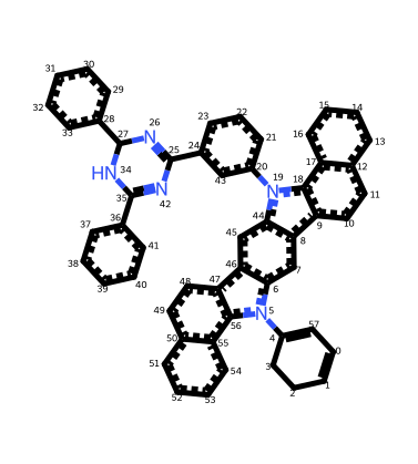 C1=CCCC(n2c3cc4c5ccc6ccccc6c5n(-c5cccc(C6=NC(c7ccccc7)NC(c7ccccc7)=N6)c5)c4cc3c3ccc4ccccc4c32)=C1